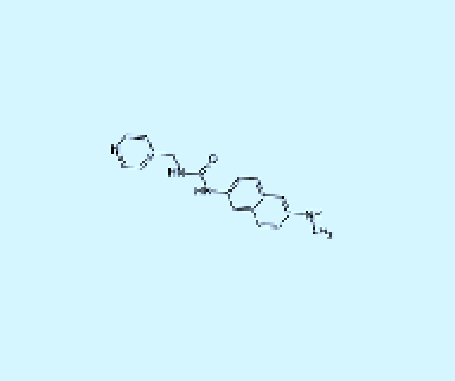 CNc1ccc2cc(NC(=O)NCc3ccncc3)ccc2c1